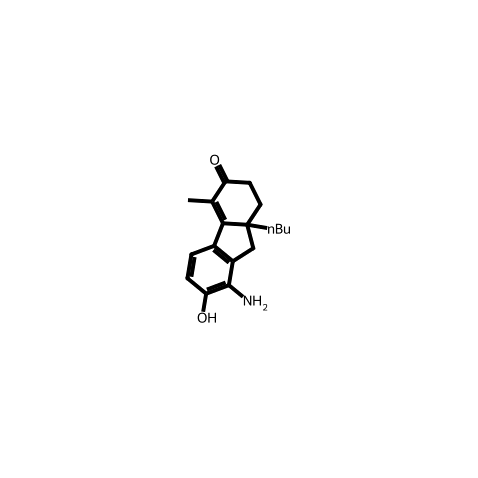 CCCCC12CCC(=O)C(C)=C1c1ccc(O)c(N)c1C2